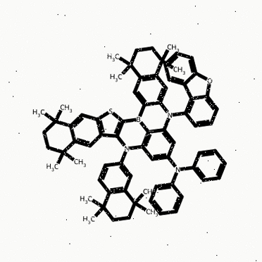 CC1(C)CCC(C)(C)c2cc(N3c4cc(N(c5ccccc5)c5ccccc5)cc5c4B(c4cc6c(cc4N5c4cccc5oc7ccccc7c45)C(C)(C)CCC6(C)C)c4sc5cc6c(cc5c43)C(C)(C)CCC6(C)C)ccc21